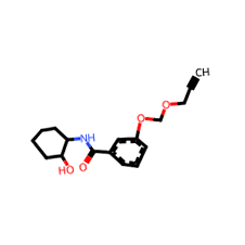 C#CCOCOc1cccc(C(=O)NC2CCCCC2O)c1